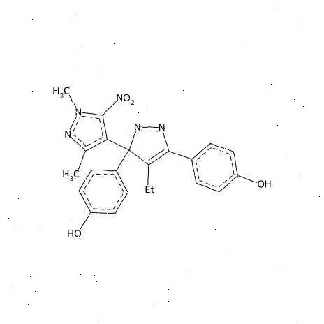 CCC1=C(c2ccc(O)cc2)N=NC1(c1ccc(O)cc1)c1c(C)nn(C)c1[N+](=O)[O-]